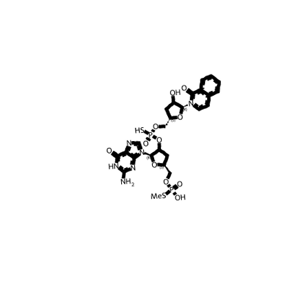 CSP(=O)(O)OC[C@@H]1CC(OP(=O)(S)OC[C@@H]2CC(O)[C@H](n3ccc4ccccc4c3=O)O2)[C@H](n2cnc3c(=O)[nH]c(N)nc32)O1